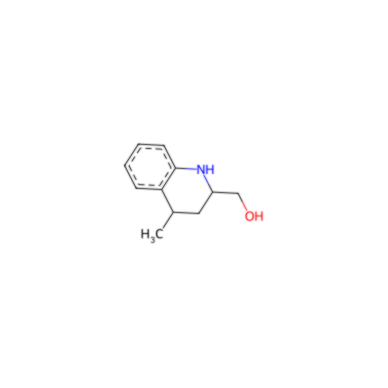 CC1CC(CO)Nc2ccccc21